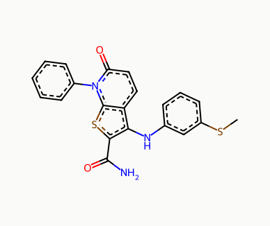 CSc1cccc(Nc2c(C(N)=O)sc3c2ccc(=O)n3-c2ccccc2)c1